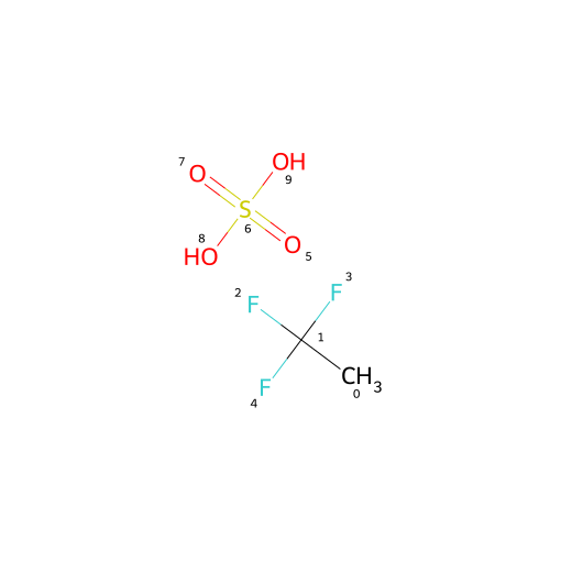 CC(F)(F)F.O=S(=O)(O)O